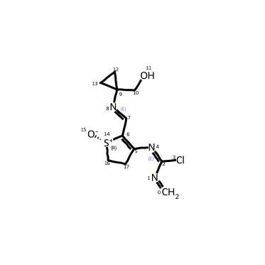 C=N/C(Cl)=N\C1=C(/C=N/C2(CO)CC2)[S@@+]([O-])CC1